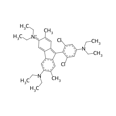 CCN(CC)c1cc(Cl)c(C2=C3C=C(C)C(=[N+](CC)CC)C=C3c3cc(N(CC)CC)c(C)cc32)c(Cl)c1